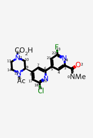 CNC(=O)c1cc(-c2cc([C@@H]3CN(C(=O)O)CCN3C(C)=O)cc(Cl)n2)cc(F)n1